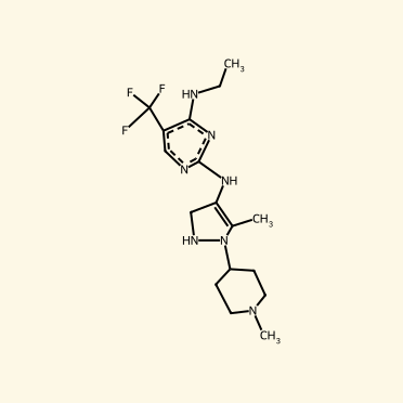 CCNc1nc(NC2=C(C)N(C3CCN(C)CC3)NC2)ncc1C(F)(F)F